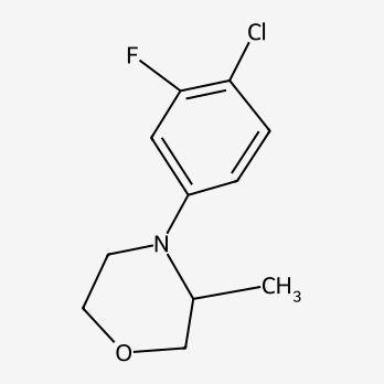 CC1COCCN1c1ccc(Cl)c(F)c1